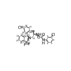 O=C(Nc1cccc(Cl)c1)ONC1=Nc2ccc(Cl)cc2C(c2ccccc2C(F)(F)F)=NC1